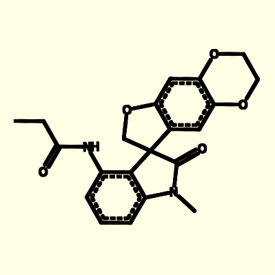 CCC(=O)Nc1cccc2c1C1(COc3cc4c(cc31)OCCO4)C(=O)N2C